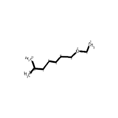 C[CH]OCCCCCC(C)C